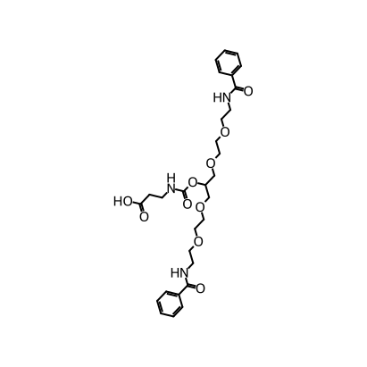 O=C(O)CCNC(=O)OC(COCCOCCNC(=O)c1ccccc1)COCCOCCNC(=O)c1ccccc1